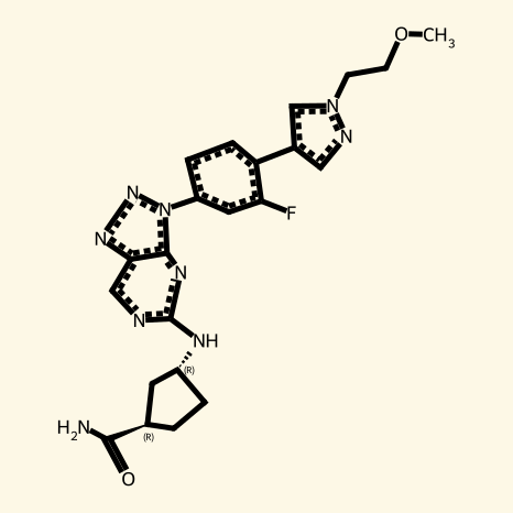 COCCn1cc(-c2ccc(-n3nnc4cnc(N[C@@H]5CC[C@@H](C(N)=O)C5)nc43)cc2F)cn1